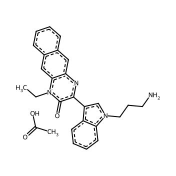 CC(=O)O.CCn1c(=O)c(-c2cn(CCCN)c3ccccc23)nc2cc3ccccc3cc21